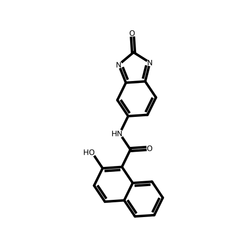 O=C1N=c2ccc(NC(=O)c3c(O)ccc4ccccc34)cc2=N1